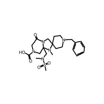 CN1C2(CCN(Cc3ccccc3)CC2)CN2C(=O)CN(C(=O)O)CC21CN(C)S(C)(=O)=O